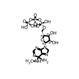 CNC1(N)N=CN=C2C1=NCN2[C@@H]1O[C@H](COP(=O)(O)OP(=O)(O)OP(=O)(O)O)[C@@H](O)[C@H]1O